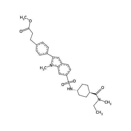 CCN(C)C(=O)[C@H]1CC[C@H](NS(=O)(=O)c2ccc3cc(-c4ccc(CCC(=O)OC)cc4)n(C)c3c2)CC1